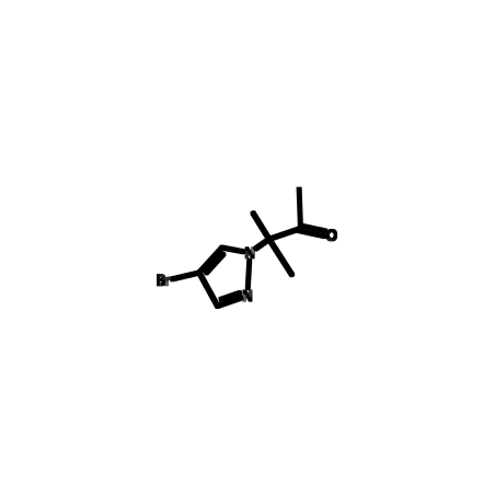 CC(=O)C(C)(C)n1cc(Br)cn1